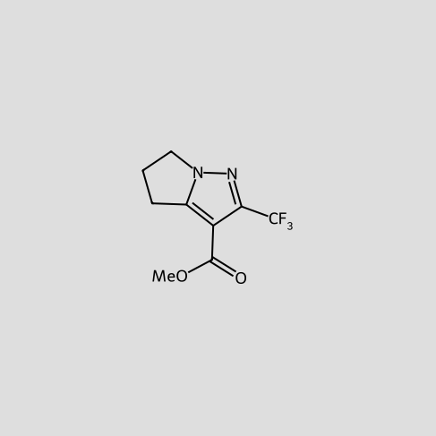 COC(=O)c1c(C(F)(F)F)nn2c1CCC2